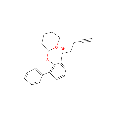 C#CCCC(O)c1cccc(-c2ccccc2)c1OC1CCCCO1